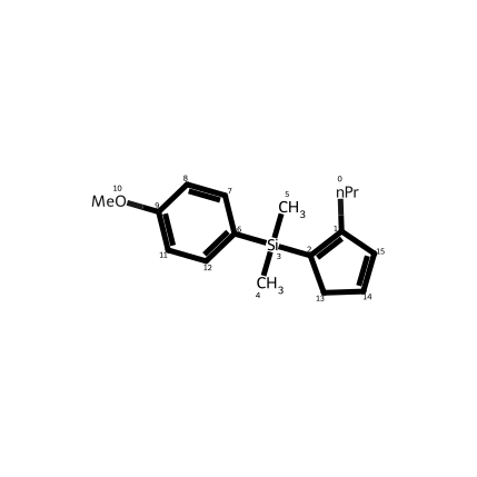 CCCC1=C([Si](C)(C)c2ccc(OC)cc2)CC=C1